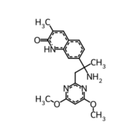 COc1cc(OC)nc(CC(C)(N)c2ccc3cc(C)c(=O)[nH]c3c2)n1